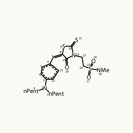 CCCCCN(CCCCC)c1ccc(C=C2SC(=S)N(CCS(=O)(=O)NC)C2=O)cc1